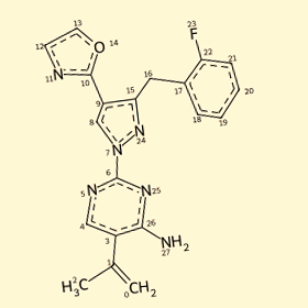 C=C(C)c1cnc(-n2cc(-c3ncco3)c(Cc3ccccc3F)n2)nc1N